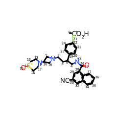 CC(=O)O.CN(CC(CCN1CC(N2CC[S+]([O-])CC2)C1)c1ccc(F)cc1)C(=O)c1cc(C#N)cc2ccccc12